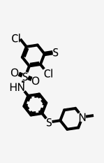 CN1CCC(Sc2ccc(NS(=O)(=O)C3=C(Cl)C(=S)CC(Cl)=C3)cc2)CC1